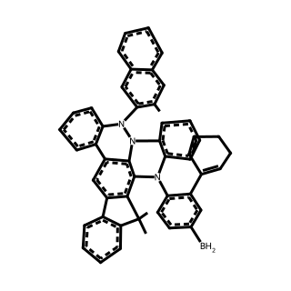 Bc1ccc(N2c3ccccc3N3c4c(cc5c(c42)C(C)(C)c2ccccc2-5)-c2ccccc2N3c2cc3ccccc3cc2C)c(C2=CCCC=C2)c1